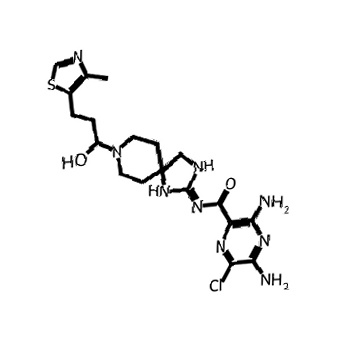 Cc1ncsc1CCC(O)N1CCC2(CC1)CN/C(=N\C(=O)c1nc(Cl)c(N)nc1N)N2